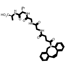 CC(C)[C@H](NC(=O)CNC(=O)CNC(=O)CCC(=O)N1Cc2ccccc2C#Cc2ccccc21)C(=O)N[C@@H](C)C(=O)O